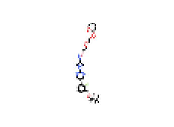 CC(C)(C)[Si](C)(C)OCc1cccc(-c2cnc(N3CC(=NOCCOCCOC4CCCCO4)C3)nc2)c1F